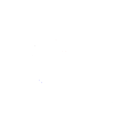 Cc1ccc(C(=O)O)c(C(=O)c2cccc(C(F)(F)F)c2)n1